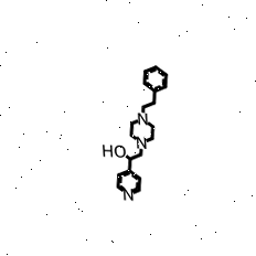 OC(CN1CCN(CCc2ccccc2)CC1)c1ccncc1